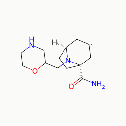 NC(=O)[C@]12C[CH]C[C@H](CC1)N2CC1CNCCO1